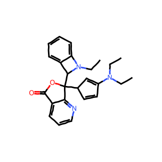 CCN(CC)C1=CC(C2(C3c4ccccc4N3CC)OC(=O)c3cccnc32)C=C1